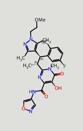 COCCn1nc(C)c([C@@H](c2cc(F)ccc2C#N)[C@@H](C)c2nc(C(=O)Nc3cnoc3)c(O)c(=O)n2C)c1C